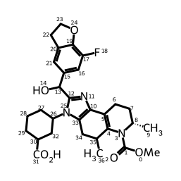 COC(=O)N1C2=C(CC[C@@H]1C)c1nc(C(O)c3cc(F)c4c(c3)CCO4)n(C3CCCC(C(=O)O)C3)c1CC2C